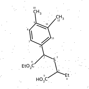 CCOC(=O)C(SC(CC)C(=O)O)c1ccc(C)c(C)c1